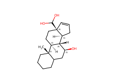 C[C@]12CCCCC1C[C@H](O)[C@@H]1[C@@H]2CC[C@]2(C(O)O)C=CC[C@@H]12